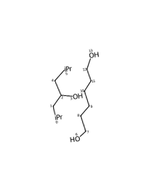 CC(C)CC(O)CC(C)C.OCCCCCCO